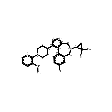 FC(F)(F)Oc1cccnc1N1CCC(c2nnc3n2-c2ccc(Cl)cc2CN(C2CC2(F)F)C3)CC1